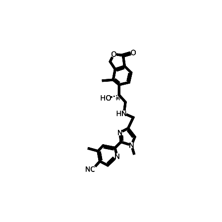 Cc1cc(-c2nc(CNC[C@H](O)c3ccc4c(c3C)COC4=O)cn2C)ncc1C#N